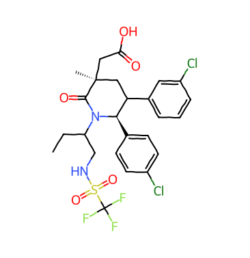 CCC(CNS(=O)(=O)C(F)(F)F)N1C(=O)[C@@](C)(CC(=O)O)CC(c2cccc(Cl)c2)[C@H]1c1ccc(Cl)cc1